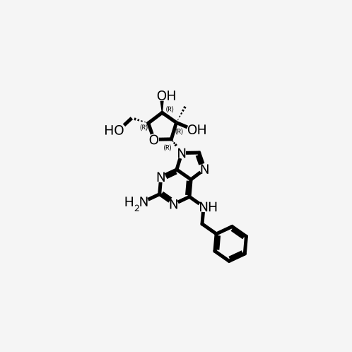 C[C@@]1(O)[C@H](O)[C@@H](CO)O[C@H]1n1cnc2c(NCc3ccccc3)nc(N)nc21